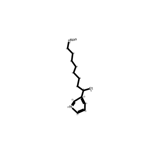 CCCCCCCCCCCCCCCCC(CC)c1cccnc1